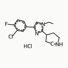 CCn1cc(-c2ccc(F)c(Cl)c2)nc1C1CCNCC1.Cl